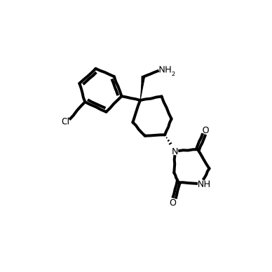 NC[C@]1(c2cccc(Cl)c2)CC[C@@H](N2CC(=O)NCC2=O)CC1